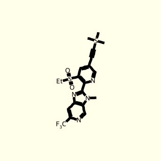 CCS(=O)(=O)c1cc(C#CS(C)(C)C)cnc1-c1nc2cc(C(F)(F)F)ncc2n1C